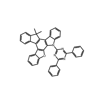 CC1(C)c2ccccc2-c2c1c1c3ccccc3n(-c3nc(-c4ccccc4)nc(-c4ccccc4)n3)c1c1oc3ccccc3c21